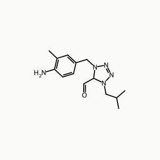 Cc1cc(CN2N=NN(CC(C)C)C2C=O)ccc1N